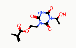 C=C(C)C(=O)OCCn1c(=O)[nH]c(=O)n(C(C)O)c1=O